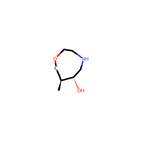 C[C@H]1COCCNC[C@@H]1O